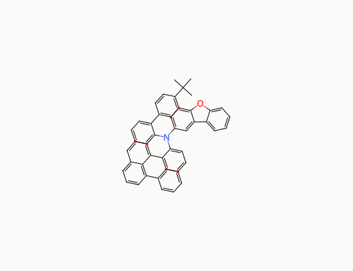 CC(C)(C)c1ccc(-c2ccccc2N(c2ccc3oc4ccccc4c3c2)c2ccccc2-c2cccc3cccc(-c4ccccc4)c23)cc1